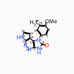 COc1ccc(-n2c(=O)[nH]c3nnc4[nH]ccc4c32)cc1C